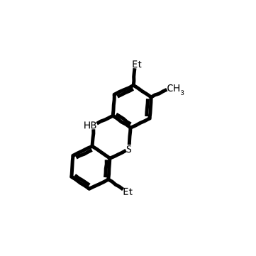 CCc1cc2c(cc1C)Sc1c(cccc1CC)B2